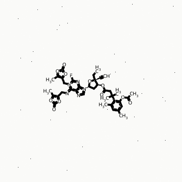 C#C[C@]1(CC)O[C@@H](n2cnc3/c(=N/Cc4oc(=O)oc4C)n(Cc4oc(=O)oc4C)c(F)nc32)C[C@@H]1OC(=O)CC(C)(C)c1c(C)cc(C)cc1OC(C)=O